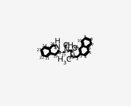 CN(Cc1ccc2ccccc2c1)C(=O)N(C)C[C@@H]1Cc2ccccc2CN1